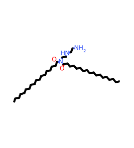 CCCCCCCCCCCCCCCCCC(=O)N(CCNCCN)C(=O)CCCCCCCCCCCCCCCCC